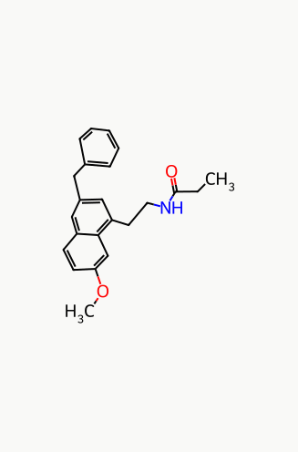 CCC(=O)NCCc1cc(Cc2ccccc2)cc2ccc(OC)cc12